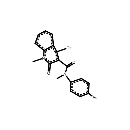 CC(=O)c1ccc(N(C)C(=O)c2c(O)c3ccccc3n(C)c2=O)cc1